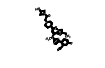 CCc1cn2nc(C3CCN(CC(=O)N4CC(O)C4)CC3)cc(N(C)c3nc(-c4ccc(F)cc4C#N)cs3)c2n1